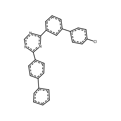 Clc1ccc(-c2cccc(-c3ncnc(-c4ccc(-c5ccccc5)cc4)n3)c2)cc1